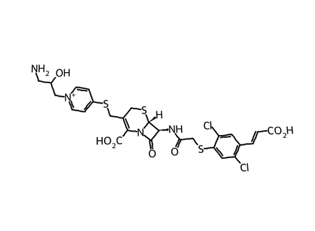 NCC(O)C[n+]1ccc(SCC2=C(C(=O)O)N3C(=O)[C@H](NC(=O)CSc4cc(Cl)c(C=CC(=O)O)cc4Cl)[C@H]3SC2)cc1